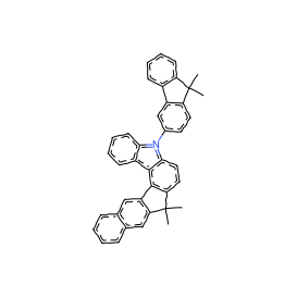 CC1(C)c2ccccc2-c2cc(-n3c4ccccc4c4c5c(ccc43)C(C)(C)c3cc4ccccc4cc3-5)ccc21